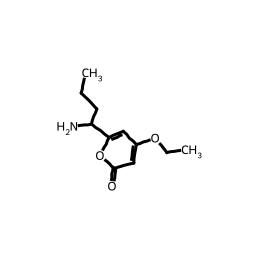 CCCC(N)c1cc(OCC)cc(=O)o1